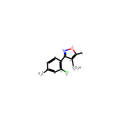 Cc1onc(-c2ccc(C(F)(F)F)cc2Cl)c1C(=O)O